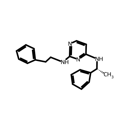 C[C@@H](Nc1ccnc(NCCc2ccccc2)n1)c1ccccc1